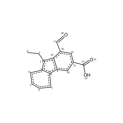 CCn1c2ccccc2c2cc(C(=O)O)cc(C=O)c21